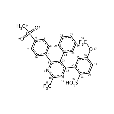 CS(=O)(=O)c1ccc(-c2nc(C(F)(F)F)nc(-c3cc(OC(F)(F)F)ccc3S(=O)(=O)O)c2-c2ccccc2)cc1